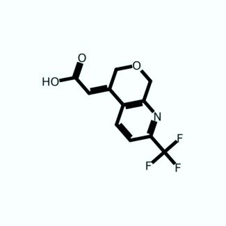 O=C(O)/C=C1\COCc2nc(C(F)(F)F)ccc21